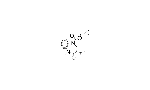 CC(C)[C@H]1CN(C(=O)OCC2CC2)c2ccccc2N(C)C1=O